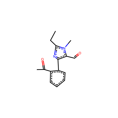 CCc1nc(-c2ccccc2C(C)=O)c(C=O)n1C